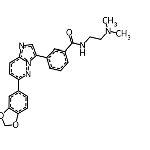 CN(C)CCNC(=O)c1cccc(-c2cnc3ccc(-c4ccc5c(c4)OCO5)nn23)c1